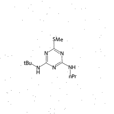 CCCNc1nc(NC(C)(C)C)nc(SC)n1